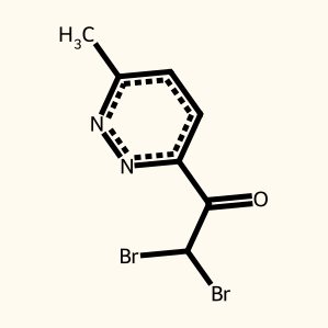 Cc1ccc(C(=O)C(Br)Br)nn1